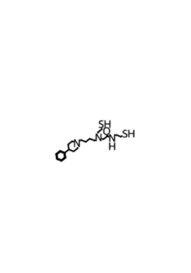 O=C(CN(CCS)CCCCN1CCC(c2ccccc2)CC1)NCCS